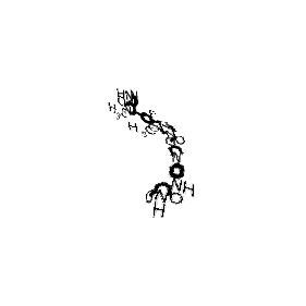 COc1cc(-c2cn(C)c(=O)c3[nH]ncc23)cc(F)c1CN1CCN(C(=O)OC2CCN(c3ccc(NC4CCC(=O)NC4=O)cc3)CC2)CC1